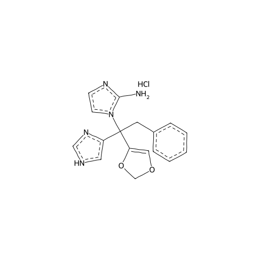 Cl.Nc1nccn1C(Cc1ccccc1)(C1=COCO1)c1c[nH]cn1